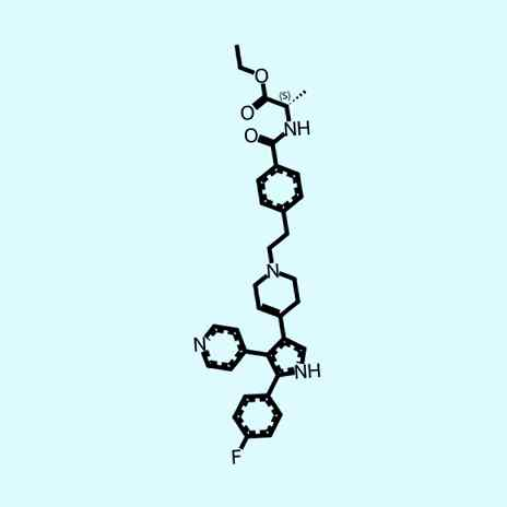 CCOC(=O)[C@H](C)NC(=O)c1ccc(CCN2CC=C(c3c[nH]c(-c4ccc(F)cc4)c3-c3ccncc3)CC2)cc1